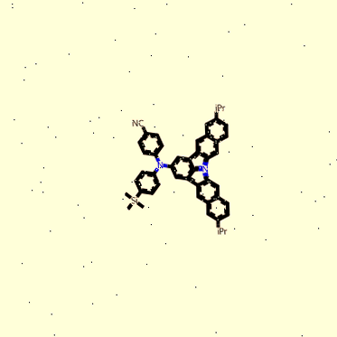 CC(C)c1ccc2cc3c(cc2c1)c1cc(N(c2ccc(C#N)cc2)c2ccc([Si](C)(C)C)cc2)cc2c4cc5cc(C(C)C)ccc5cc4n3c12